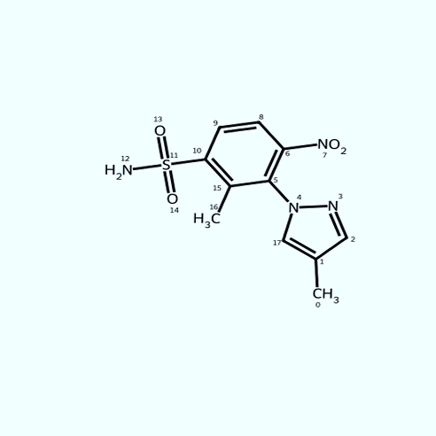 Cc1cnn(-c2c([N+](=O)[O-])ccc(S(N)(=O)=O)c2C)c1